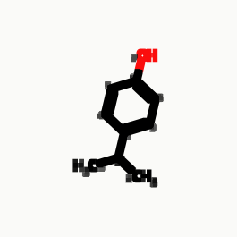 C[C](C)c1ccc(O)cc1